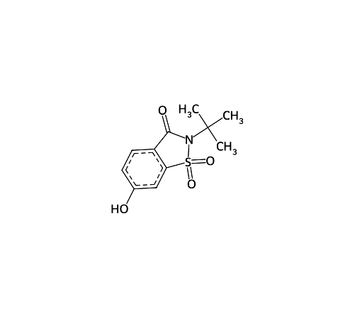 CC(C)(C)N1C(=O)c2ccc(O)cc2S1(=O)=O